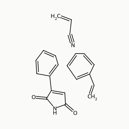 C=CC#N.C=Cc1ccccc1.O=C1C=C(c2ccccc2)C(=O)N1